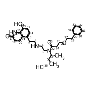 CC[C@@H](C)N(CCNCCc1ccc(O)c2[nH]c(=O)ccc12)C(=O)CCOCCc1ccccc1.Cl